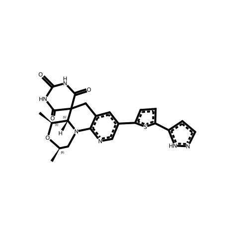 C[C@@H]1CN2c3ncc(-c4ccc(-c5ccn[nH]5)s4)cc3CC3(C(=O)NC(=O)NC3=O)[C@H]2[C@H](C)O1